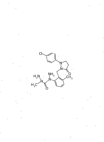 Cc1cccc(N(N)C(=O)N(C)N)c1CN1C(=O)CCN1c1ccc(Cl)cc1